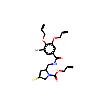 C=CCOC(=O)N1CC(S)CC1CNC(=O)c1cc(C#N)c(OCC=C)c(OCC=C)c1